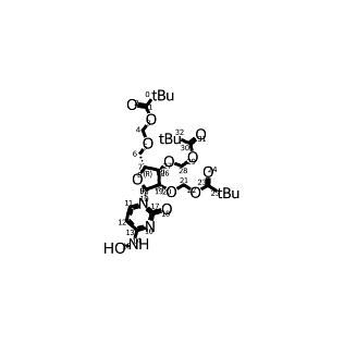 CC(C)(C)C(=O)OCOC[C@H]1O[C@@H](n2ccc(NO)nc2=O)[C@H](OCOC(=O)C(C)(C)C)[C@@H]1OCOC(=O)C(C)(C)C